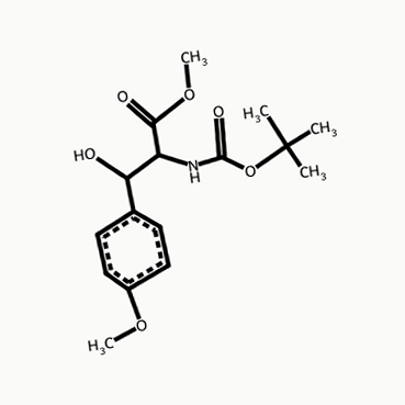 COC(=O)C(NC(=O)OC(C)(C)C)C(O)c1ccc(OC)cc1